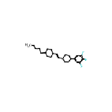 CCCCCC1CCC(C=CC2CCC(c3cc(F)c(F)c(F)c3)CC2)CC1